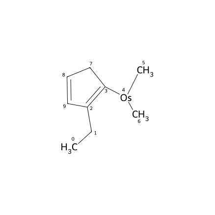 CCC1=[C]([Os]([CH3])[CH3])CC=C1